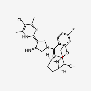 CCCN1[C@H]2CC[C@@H]1C(O)[C@H](Oc1cc(F)ccc1C(=O)N1CC(=N)/C(=C3/N=C(C)C(Cl)=C(C)N3)C1)C2